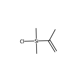 C=C(C)[Si](C)(C)Cl